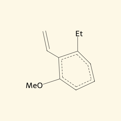 C=Cc1c(CC)cccc1OC